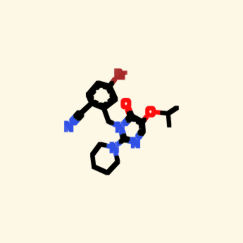 CC(C)Oc1cnc(N2CCCCC2)n(Cc2cc(Br)ccc2C#N)c1=O